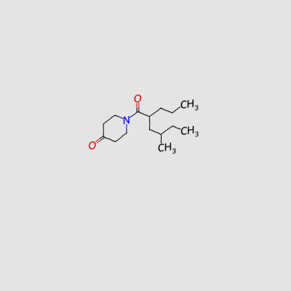 CCCC(CC(C)CC)C(=O)N1CCC(=O)CC1